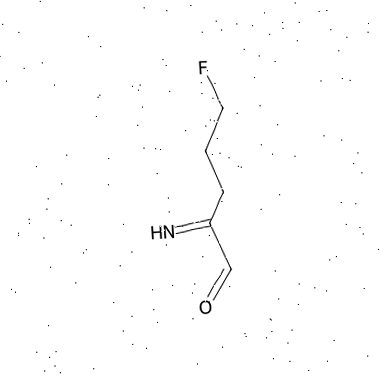 N=C(C=O)CCCF